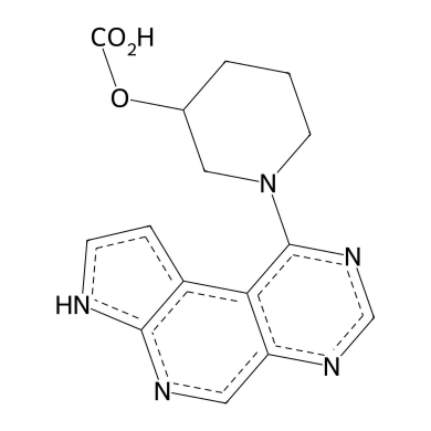 O=C(O)OC1CCCN(c2ncnc3cnc4[nH]ccc4c23)C1